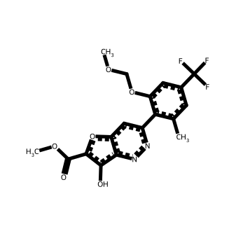 COCOc1cc(C(F)(F)F)cc(C)c1-c1cc2oc(C(=O)OC)c(O)c2nn1